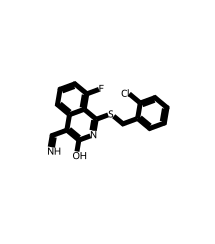 N=Cc1c(O)nc(SCc2ccccc2Cl)c2c(F)cccc12